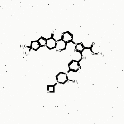 COC(=O)c1cn(-c2ccnc(N3CCn4c(cc5c4CC(C)(C)C5)C3=O)c2CO)nc1Nc1ccc(N2CCN(C3COC3)C[C@@H]2C)cn1